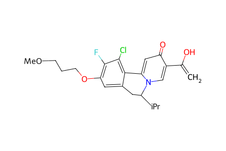 C=C(O)c1cn2c(cc1=O)-c1c(cc(OCCCOC)c(F)c1Cl)CC2C(C)C